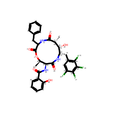 C[C@H]1OC(=O)C(Cc2ccccc2)NC(=O)[C@H](C)[C@H](O)[C@H](Cc2cc(F)c(F)c(F)c2F)NC(=O)[C@H]1NC(=O)c1ccccc1O